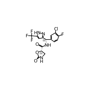 O=C1NC[C@@H](C(=O)N[C@@H](c2ccc(F)c(Cl)c2)c2cc(C(F)(F)F)[nH]n2)O1